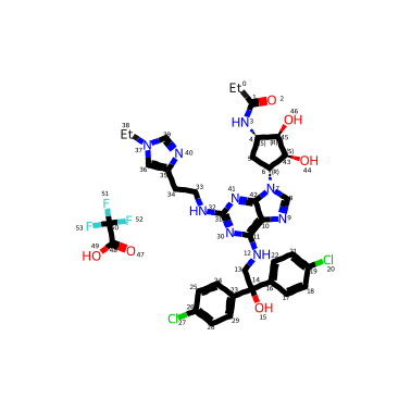 CCC(=O)N[C@H]1C[C@@H](n2cnc3c(NCC(O)(c4ccc(Cl)cc4)c4ccc(Cl)cc4)nc(NCCc4cn(CC)cn4)nc32)[C@H](O)[C@@H]1O.O=C(O)C(F)(F)F